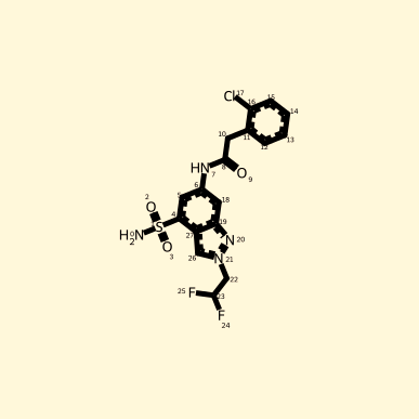 NS(=O)(=O)c1cc(NC(=O)Cc2ccccc2Cl)cc2nn(CC(F)F)cc12